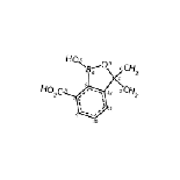 CC1(C)OB(O)c2c(C(=O)O)cccc21